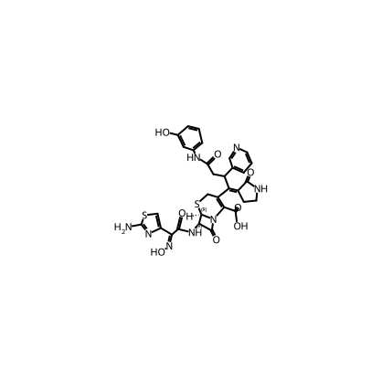 Nc1nc(C(=NO)C(=O)N[C@@H]2C(=O)N3C(C(=O)O)=C(C(=C4CCNC4=O)C(CC(=O)Nc4cccc(O)c4)c4cccnc4)CS[C@H]23)cs1